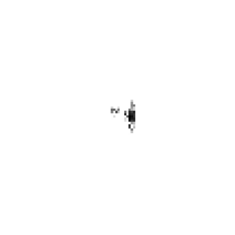 [O]=[Ir].[Pd].[Ru]